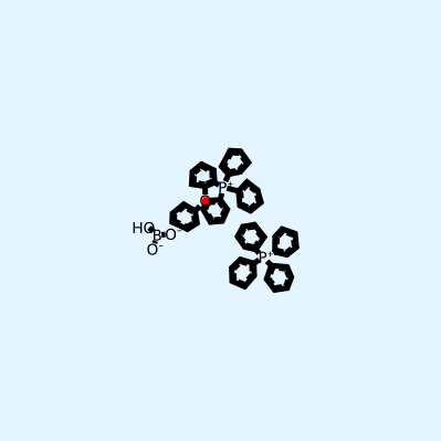 [O-]B([O-])O.c1ccc(Oc2ccccc2[P+](c2ccccc2)(c2ccccc2)c2ccccc2)cc1.c1ccc([P+](c2ccccc2)(c2ccccc2)c2ccccc2)cc1